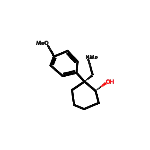 CNC[C@@]1(c2ccc(OC)cc2)CCCC[C@H]1O